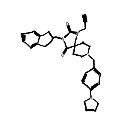 C#CCN1C(=O)N(C2Cc3ccccc3C2)C(=O)C12CCN(Cc1ccc(N3CCCC3)cc1)CC2